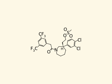 CS(=O)(=O)OCC[C@@]1(c2ccc(Cl)c(Cl)c2)CCCCN(C(=O)Cc2cc(C(F)(F)F)cc(C(F)(F)F)c2)C1